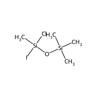 C[Si](C)(C)O[Si](C)(Cl)I